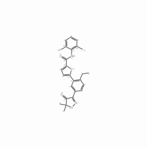 CCc1ccc(C2=NOC(C)(C)C2=O)cc1-c1ccc(C(=O)Nc2c(F)cccc2F)s1